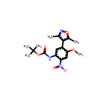 COc1cc([N+](=O)[O-])c(NC(=O)OC(C)(C)C)cc1-c1c(C)noc1C